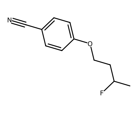 CC(F)CCOc1ccc(C#N)cc1